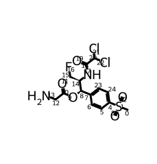 CS(=O)(=O)c1ccc([C@@H](OC(=O)CN)[C@@H](CF)NC(=O)C(Cl)Cl)cc1